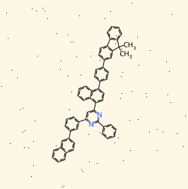 CC1(C)c2ccccc2-c2ccc(-c3ccc(-c4ccc(-c5cc(-c6cccc(-c7ccc8ccccc8c7)c6)nc(-c6ccccc6)n5)c5ccccc45)cc3)cc21